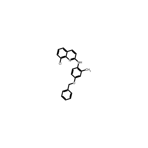 Cc1cc(OCc2ccccc2)ccc1Nc1ccc2cccc(Cl)c2n1